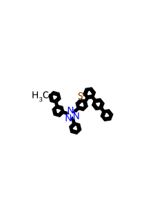 Cc1cccc(-c2cccc(-c3nc(-c4ccccc4)nc(-c4ccc5c(c4)sc4cccc(-c6ccc(-c7ccccc7)cc6)c45)n3)c2)c1